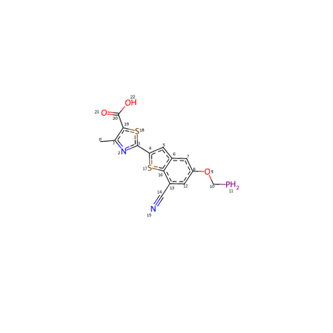 Cc1nc(-c2cc3cc(OCP)cc(C#N)c3s2)sc1C(=O)O